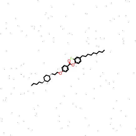 CCCCCCCCCc1ccc(OC(=O)c2ccc(OCCC[C@H]3CC[C@H](CCCCC)CC3)cc2)c(F)c1